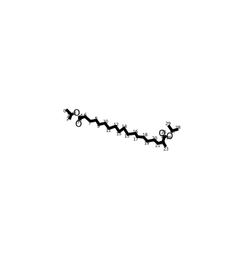 CC(C)OC(=O)CCCCCCCCCCCCCCCCC(C)C(=O)OC(C)C